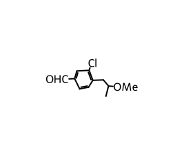 COC(C)Cc1ccc(C=O)cc1Cl